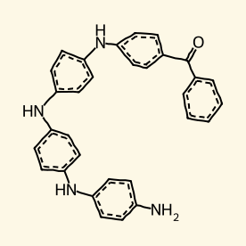 Nc1ccc(Nc2ccc(Nc3ccc(Nc4ccc(C(=O)c5ccccc5)cc4)cc3)cc2)cc1